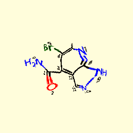 NC(=O)c1c(Br)cnc2[nH]n[c]c12